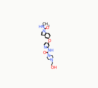 CNC(=O)n1ccc2cc(Oc3ccnc(NC(=O)N4CCN(CCO)CC4)c3)ccc21